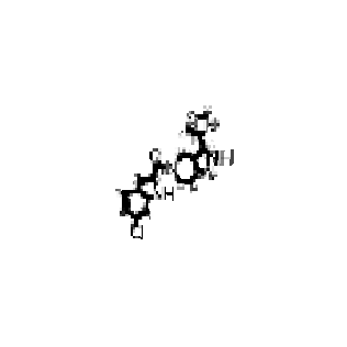 O=C(c1cc2ccc(Cl)cc2[nH]1)N1CCc2n[nH]c(-c3cscn3)c2C1